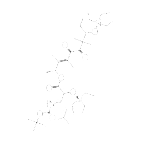 CCC(O[Si](CC)(CC)CC)C(C)(C)C(=O)C(=O)/C(C)=C(\C)[C@H](C)OC(=O)C(O[Si](CC)(CC)CC)[C@H](CC(C)C)NC(=O)OC(C)(C)C